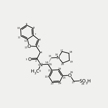 CN(C(=O)Cc1cc2ccccc2o1)[C@H](CN1CCCC1)c1cccc(OCS(=O)(=O)O)c1